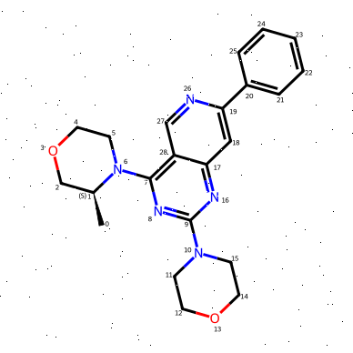 C[C@H]1COCCN1c1nc(N2CCOCC2)nc2cc(-c3ccccc3)ncc12